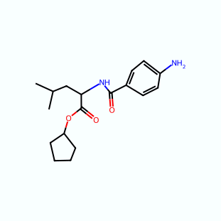 CC(C)CC(NC(=O)c1ccc(N)cc1)C(=O)OC1CCCC1